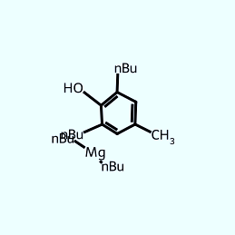 CCCCc1cc(C)cc(CCCC)c1O.CCC[CH2][Mg][CH2]CCC